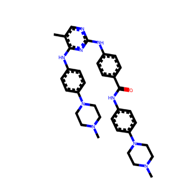 Cc1cnc(Nc2ccc(C(=O)Nc3ccc(N4CCN(C)CC4)cc3)cc2)nc1Nc1ccc(N2CCN(C)CC2)cc1